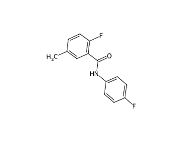 Cc1ccc(F)c(C(=O)Nc2ccc(F)cc2)c1